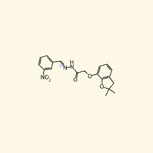 CC1(C)Cc2cccc(OCC(=O)N/N=C/c3cccc([N+](=O)[O-])c3)c2O1